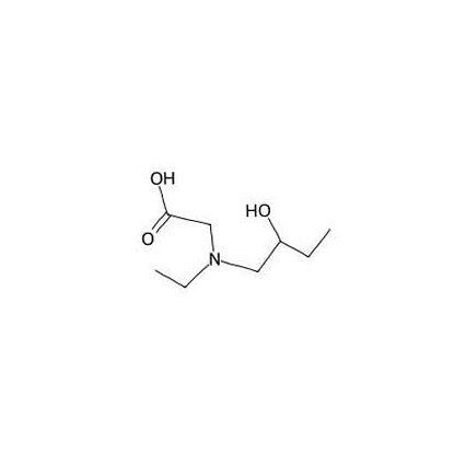 CCC(O)CN(CC)CC(=O)O